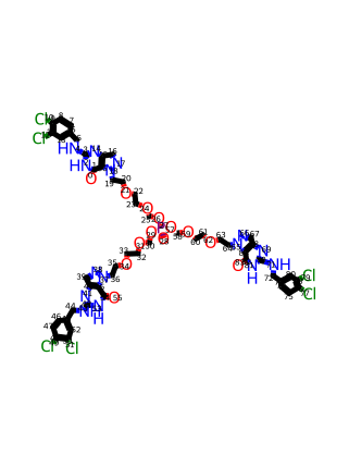 O=c1[nH]c(NCc2ccc(Cl)c(Cl)c2)nc2cnn(CCOCCOCOP(=O)(OCOCCOCCn3ncc4nc(NCc5ccc(Cl)c(Cl)c5)[nH]c(=O)c43)OCOCCOCCn3ncc4nc(NCc5ccc(Cl)c(Cl)c5)[nH]c(=O)c43)c12